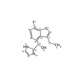 CCc1csc2c(F)ccc(C(O)c3ncc[nH]3)c12